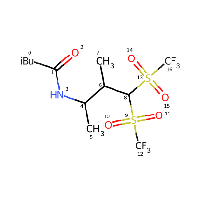 CCC(C)C(=O)NC(C)C(C)C(S(=O)(=O)C(F)(F)F)S(=O)(=O)C(F)(F)F